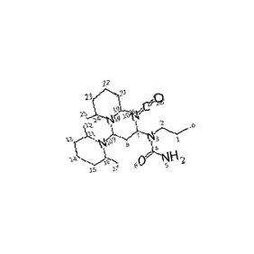 CCCN(C(N)=O)C(CC(N1C(C)CCCC1C)N1C(C)CCCC1C)N=C=O